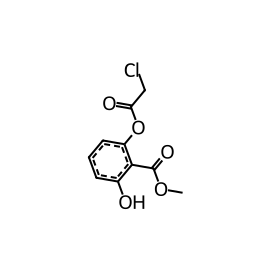 COC(=O)c1c(O)cccc1OC(=O)CCl